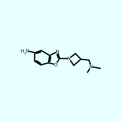 CN(C)CC1CN(c2nc3cc(N)ccc3o2)C1